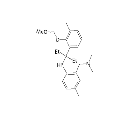 CCC(CC)(Pc1ccc(C)cc1CN(C)C)c1cccc(C)c1OCOC